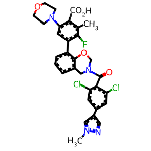 Cc1c(F)c(-c2cccc3c2OCN(C(=O)c2c(Cl)cc(-c4cnn(C)c4)cc2Cl)C3)cc(N2CCOCC2)c1C(=O)O